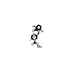 C[C@@H]1CN[C@@H](CN2C(=O)[C@@H]3CC[C@H]2C3)CN1C(=O)OC(C)(C)C